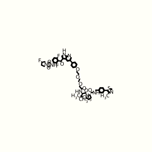 Cc1ncsc1-c1ccc(CNC(=O)[C@@H]2CCCN2C(=O)C(NC(=O)COCCOCCOc2ccc(-c3cnc4[nH]cc(C(=O)c5c(F)ccc(NS(=O)(=O)N6CC[C@@H](F)C6)c5F)c4c3)cc2)C(C)(C)C)cc1